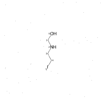 OCNCCI